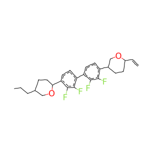 C=CC1CCC(c2ccc(-c3ccc(C4CCC(CCC)CO4)c(F)c3F)c(F)c2F)CO1